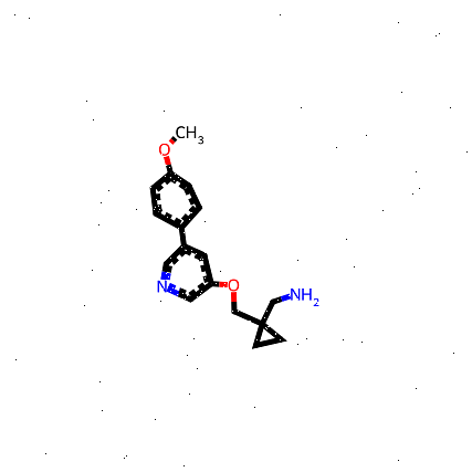 COc1ccc(-c2cncc(OCC3(CN)CC3)c2)cc1